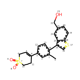 Cc1cc(C2=CCS(=O)(=O)CC2)ccc1-c1csc2ccc(CO)cc12